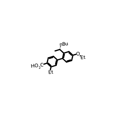 CCCC[C@@H](C)c1cc(OCC)ccc1-c1ccc(C(=O)O)c(CC)c1